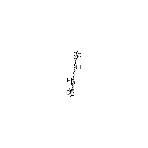 C=C(C)C(=O)OCCCCNCCCCCCNOCCOOC(=O)C(=C)C